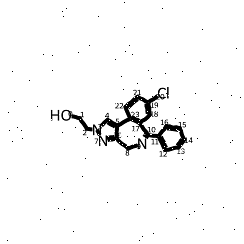 OCCn1cc2c(n1)CN=C(c1ccccc1)c1cc(Cl)ccc1-2